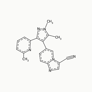 Cc1cccc(-c2nn(C)c(C)c2-c2ccc3ncc(C#N)n3c2)n1